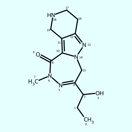 CCC(O)C1=NN(C)C(=O)c2c3c(nn2C1)CCNC3